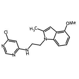 COc1cccc2c1cc(C)n2CCNc1cc(Cl)ncn1